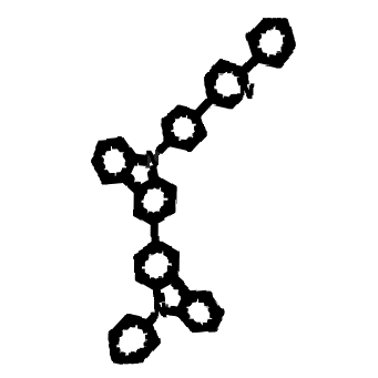 c1ccc(-c2ccc(-c3ccc(-n4c5ccccc5c5cc(-c6ccc7c(c6)c6ccccc6n7-c6ccccc6)ccc54)cc3)cn2)cc1